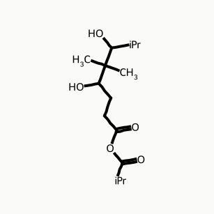 CC(C)C(=O)OC(=O)CCC(O)C(C)(C)C(O)C(C)C